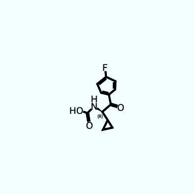 O=C(O)N[C@@H](C(=O)c1ccc(F)cc1)C1CC1